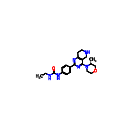 CCNC(=O)Nc1ccc(-c2nc3c(c(N4CCOC[C@H]4C)n2)CNCC3)cc1